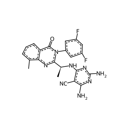 Cc1cccc2c(=O)n(-c3cc(F)cc(F)c3)c([C@H](C)Nc3nc(N)nc(N)c3C#N)nc12